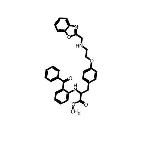 COC(=O)C(Cc1ccc(OCCNCc2nc3ccccc3o2)cc1)Nc1ccccc1C(=O)c1ccccc1